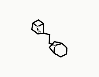 CC(C)N1C2CCC(CCN3C4CCCC3CC4)C1C2